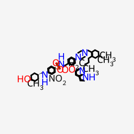 C=C(C)CCC1=C(CN2CCN(c3ccc(C(=O)NS(=O)(=O)c4ccc(NC[C@H]5CC[C@](C)(O)CC5)c([N+](=O)[O-])c4)c(Oc4cnc5[nH]ccc5c4)c3)CC2)CCC(C)(C)C1